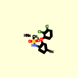 CC(=O)c1ccc(NS(C)(=O)=O)c(Oc2cccc(Cl)c2Cl)c1.[NaH]